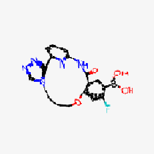 O=C1Nc2cccc(n2)-c2nncn2CCCCOc2cc(F)c(B(O)O)cc21